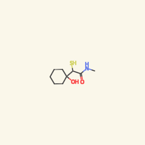 CNC(=O)C(S)C1(O)CCCCC1